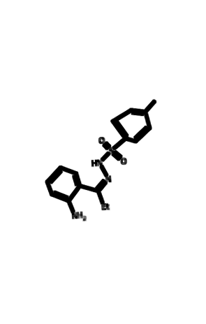 CCC(=NNS(=O)(=O)c1ccc(C)cc1)c1ccccc1N